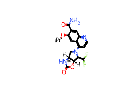 CC(C)Oc1cc2c(N3C[C@H]4NC(=O)O[C@H]4C3C(F)F)ccnc2cc1C(N)=O